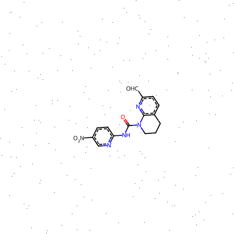 O=Cc1ccc2c(n1)N(C(=O)Nc1ccc([N+](=O)[O-])cn1)CCC2